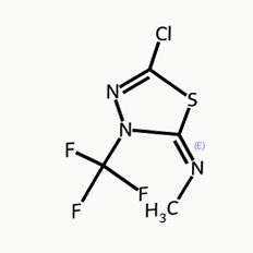 C/N=c1/sc(Cl)nn1C(F)(F)F